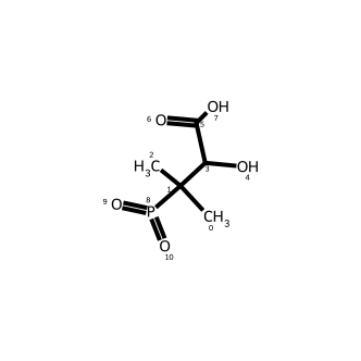 CC(C)(C(O)C(=O)O)P(=O)=O